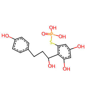 O=P(O)(O)Sc1cc(O)cc(O)c1C(O)CCc1ccc(O)cc1